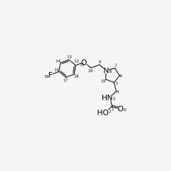 O=C(O)NCC1CCN(CCOc2ccc(F)cc2)C1